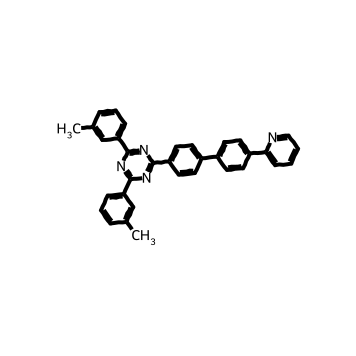 Cc1cccc(-c2nc(-c3ccc(-c4ccc(-c5ccccn5)cc4)cc3)nc(-c3cccc(C)c3)n2)c1